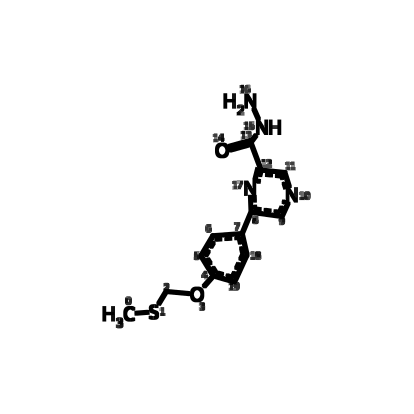 CSCOc1ccc(-c2cncc(C(=O)NN)n2)cc1